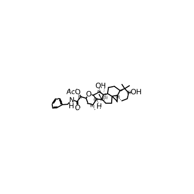 CC(=O)O[C@H](C(=O)NCc1ccccc1)C1C[C@@H](C)[C@H]2C(O1)[C@H](O)[C@@]1(C)C3CCC4C(C)(C)[C@@H](O)CC[C@@]45CC35CC[C@]21C